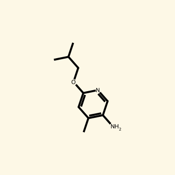 Cc1cc(OCC(C)C)ncc1N